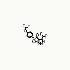 CN(C(=O)c1snnc1C(F)F)c1ccc(OC(F)F)cc1